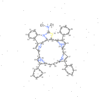 CCN(CC)c1nc2c3nc(c4cc(-c5ccccc5)c(ccc5nc(c6cc(-c7ccccc7)c([nH]6)c2s1)C=C5c1ccccc1)[nH]4)C=C3c1ccccc1